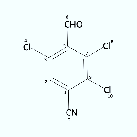 N#Cc1cc(Cl)c(C=O)c(Cl)c1Cl